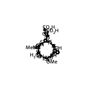 CNC(=O)C[C@@H]1NC(=O)c2csc(n2)-c2ccc(-c3nc(N(CC(=O)O)C(=O)[C@H]4C[C@H](C(=O)O)C4)cs3)nc2-c2csc(n2)-c2csc(n2)[C@H]([C@@H](O)c2ccccc2)NC(=O)CNC(=O)c2nc(sc2COC)C(C(C)C)NC(=O)c2nc1sc2C